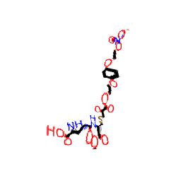 COC(=O)[C@H](CSCC(=O)C(=O)OCCOc1ccc(OCCO[N+](=O)[O-])cc1)NC(=O)CC[C@H](N)C(=O)O